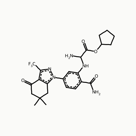 CC1(C)CC(=O)c2c(C(F)(F)F)nn(-c3ccc(C(N)=O)c(NC(N)C(=O)OC4CCCC4)c3)c2C1